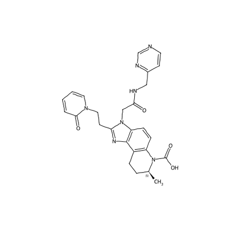 C[C@H]1CCc2c(ccc3c2nc(CCn2ccccc2=O)n3CC(=O)NCc2ccncn2)N1C(=O)O